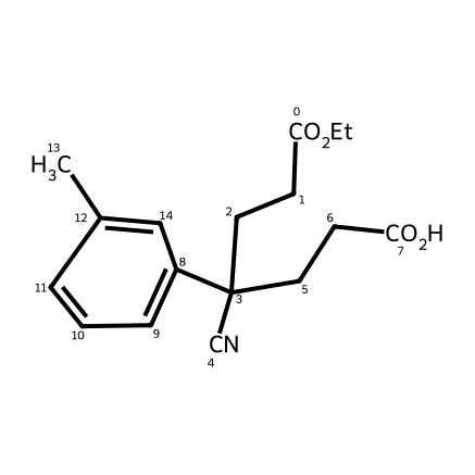 CCOC(=O)CCC(C#N)(CCC(=O)O)c1cccc(C)c1